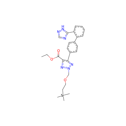 CCOC(=O)c1nn(COCC[Si](C)(C)C)nc1-c1ccc(-c2ccccc2-c2ncn[nH]2)cc1